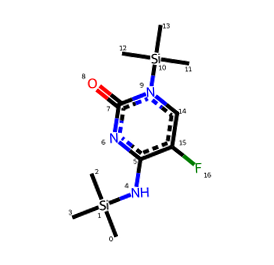 C[Si](C)(C)Nc1nc(=O)n([Si](C)(C)C)cc1F